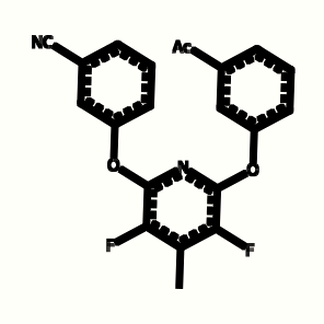 CC(=O)c1cccc(Oc2nc(Oc3cccc(C#N)c3)c(F)c(C)c2F)c1